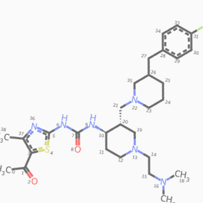 CC(=O)c1sc(NC(=O)N[C@@H]2CCN(CCN(C)C)C[C@H]2CN2CCCC(Cc3ccc(F)cc3)C2)nc1C